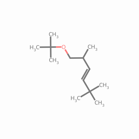 CC(/C=C/C(C)(C)C)COC(C)(C)C